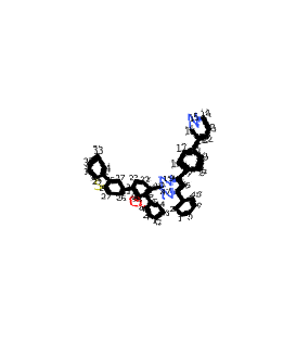 c1ccc(-c2cc(-c3ccc(-c4cccnc4)cc3)nc(-c3ccc(-c4ccc5sc6ccccc6c5c4)c4oc5ccccc5c34)n2)cc1